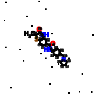 CC1Sc2ccc(C(=O)Nc3ccc(CN4CCCC4)cc3)cc2NC1=O